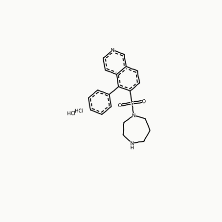 Cl.Cl.O=S(=O)(c1ccc2cnccc2c1-c1ccccc1)N1CCCNCC1